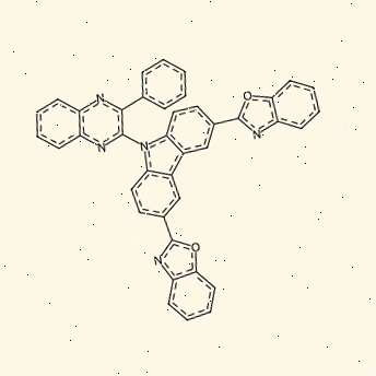 c1ccc(-c2nc3ccccc3nc2-n2c3ccc(-c4nc5ccccc5o4)cc3c3cc(-c4nc5ccccc5o4)ccc32)cc1